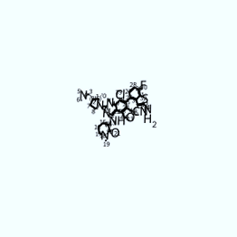 C[C@H]1[C@@H](CN(C)C)CCN1c1nc(N[C@@H]2CCCN(C)C2=O)c2c3c(c(-c4ccc(F)c5sc(N)c(C#N)c45)c(Cl)c2n1)COC3